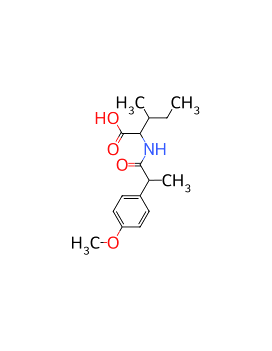 CCC(C)C(NC(=O)C(C)c1ccc(OC)cc1)C(=O)O